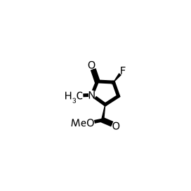 COC(=O)[C@@H]1C[C@H](F)C(=O)N1C